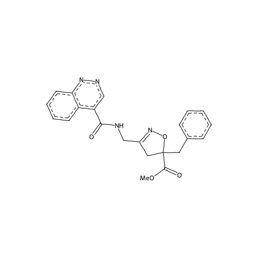 COC(=O)C1(Cc2ccccc2)CC(CNC(=O)c2cnnc3ccccc23)=NO1